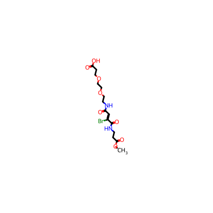 COC(=O)CCNC(=O)C(Br)=CC(=O)NCCOCCOCCC(=O)O